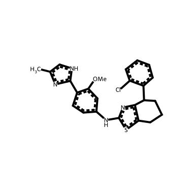 COc1cc(Nc2nc3c(s2)CCCC3c2ccccc2Cl)ccc1-c1nc(C)c[nH]1